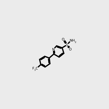 NS(=O)(=O)c1ccc(-c2ccc(C(F)(F)F)cc2)nc1